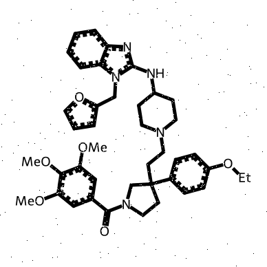 CCOc1ccc(C2(CCN3CCC(Nc4nc5ccccc5n4Cc4ccco4)CC3)CCN(C(=O)c3cc(OC)c(OC)c(OC)c3)C2)cc1